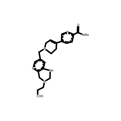 CNC(=O)c1ccc(C2=CCN(Cc3cnc4c(c3)NCN(CCC=O)C4)CC2)cn1